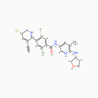 C#CC1=CC(F)CN=C1c1cc(Cl)c(C(=O)Nc2cnc(NC3CCOC3)c(C(F)(F)F)c2)cc1F